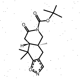 CC(C)(C)OC(=O)N1C[C@@]2(C)Cc3cnoc3C(C)(C)[C@@H]2CC1=O